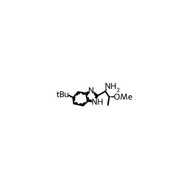 CO[C@@H](C)[C@H](N)c1nc2cc(C(C)(C)C)ccc2[nH]1